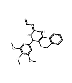 C=C/N=C1/NC2=C(CCc3ccccc32)C(c2cc(OC)c(OC)c(OC)c2)N1